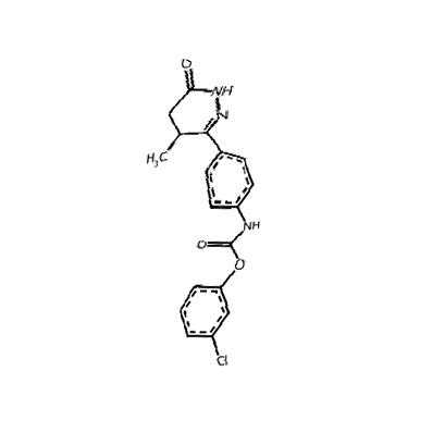 CC1CC(=O)NN=C1c1ccc(NC(=O)Oc2cccc(Cl)c2)cc1